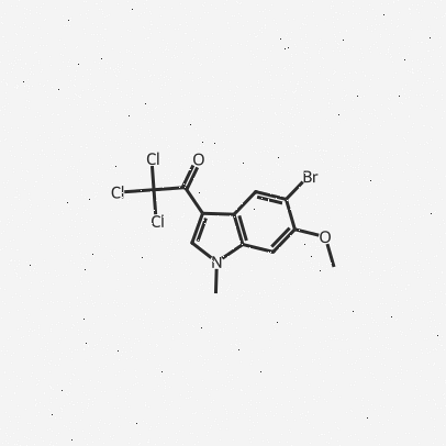 COc1cc2c(cc1Br)c(C(=O)C(Cl)(Cl)Cl)cn2C